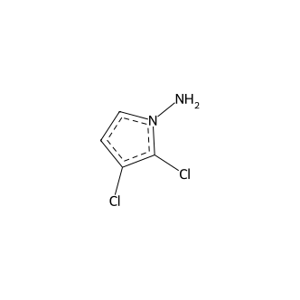 Nn1ccc(Cl)c1Cl